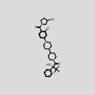 O=C(c1ccc(N2CCC(C3CCN(C(=O)[C@](O)(c4ccccc4)C(F)(F)F)CC3)CC2)cc1Cl)N1CCC(O)C1